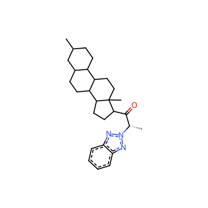 CC1CCC2C(CCC3C2CCC2(C)C(C(=O)[C@H](C)n4nc5ccccc5n4)CCC32)C1